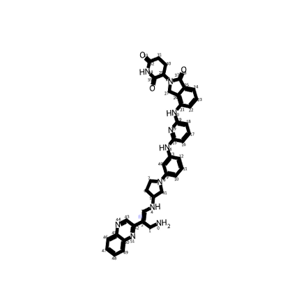 NC/C(=C\NC1CCN(c2cccc(Nc3cccc(Nc4cccc5c4CN(C4CCC(=O)NC4=O)C5=O)n3)c2)C1)c1cnc2ccccc2n1